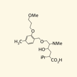 CNC(COCc1ccc(C)cc1OCCCOC)C(O)CC(C(=O)O)C(C)C